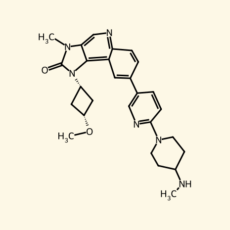 CNC1CCN(c2ccc(-c3ccc4ncc5c(c4c3)n([C@H]3C[C@@H](OC)C3)c(=O)n5C)cn2)CC1